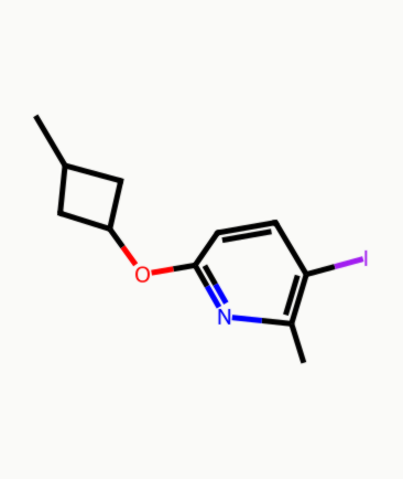 Cc1nc(OC2CC(C)C2)ccc1I